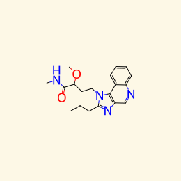 CCCc1nc2cnc3ccccc3c2n1CCC(OC)C(=O)NC